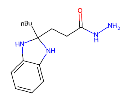 CCCCC1(CCC(=O)NN)Nc2ccccc2N1